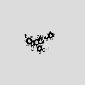 Oc1cccc([C@@]23CCN(CCc4ccccc4)C[C@@]2(O)Cc2c([nH]c4ccc(F)cc24)C3)c1